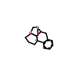 c1ccc2c(c1)CC1N3CC[C@@]24CCCCC14OC3